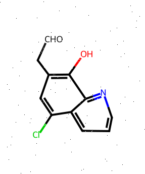 O=CCc1cc(Cl)c2cccnc2c1O